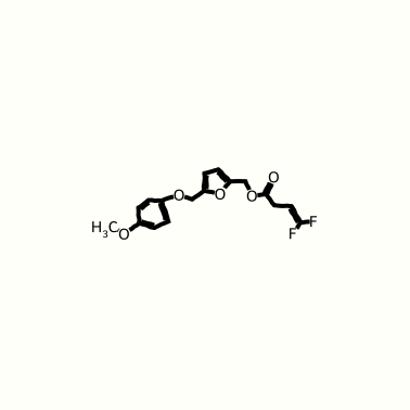 COc1ccc(OCc2ccc(COC(=O)CC=C(F)F)o2)cc1